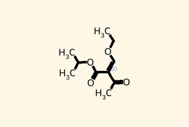 CCO/C=C(/C(C)=O)C(=O)OC(C)C